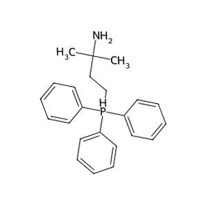 CC(C)(N)CC[PH](c1ccccc1)(c1ccccc1)c1ccccc1